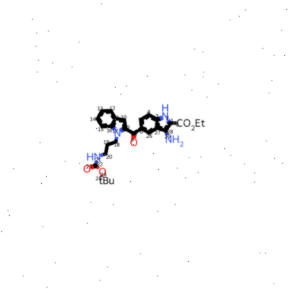 CCOC(=O)c1[nH]c2ccc(C(=O)c3cc4ccccc4n3CCCNC(=O)OC(C)(C)C)cc2c1N